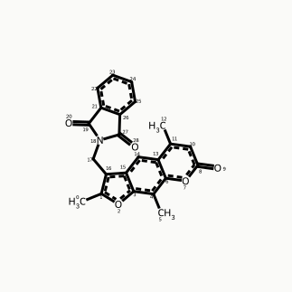 Cc1oc2c(C)c3oc(=O)cc(C)c3cc2c1CN1C(=O)c2ccccc2C1=O